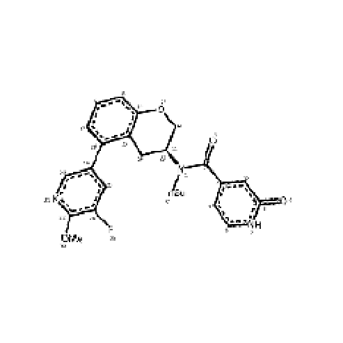 CCCCN(C(=O)c1cc[nH]c(=O)c1)[C@@H]1COc2cccc(-c3cnc(OC)c(F)c3)c2C1